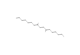 CCCCCCCC(O)CCC(O)CCCCCC